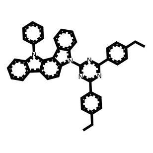 CCc1ccc(-c2nc(-c3ccc(CC)cc3)nc(-n3c4ccccc4c4c3ccc3c5ccccc5n(-c5ccccc5)c34)n2)cc1